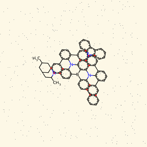 CC1CC2CC(C)N(c3ccc4c(c3)N(c3c(-c5ccccc5)cccc3-c3ccccc3)c3cc(-n5c6ccccc6c6ccccc65)cc5c3B4c3ccc(-c4ccccc4)cc3N5c3c(-c4ccccc4)cccc3-c3ccccc3)C(C1)C2